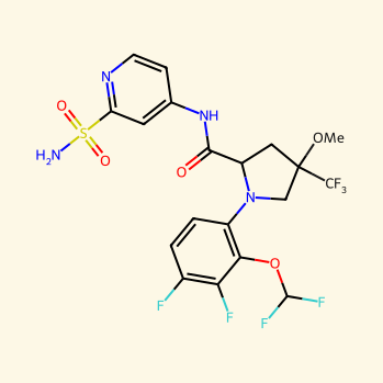 COC1(C(F)(F)F)CC(C(=O)Nc2ccnc(S(N)(=O)=O)c2)N(c2ccc(F)c(F)c2OC(F)F)C1